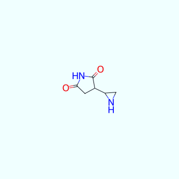 O=C1CC(C2CN2)C(=O)N1